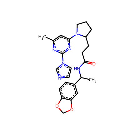 Cc1cc(N2CCCC2CCC(=O)NC(C)c2ccc3c(c2)OCO3)nc(-n2ccnc2)n1